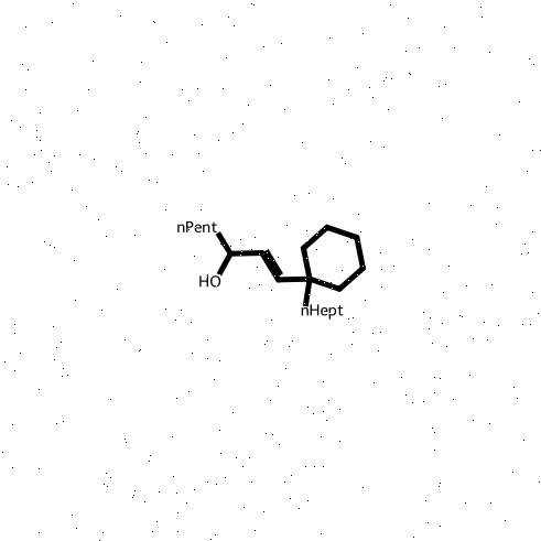 CCCCCCCC1(C=CC(O)CCCCC)CCCCC1